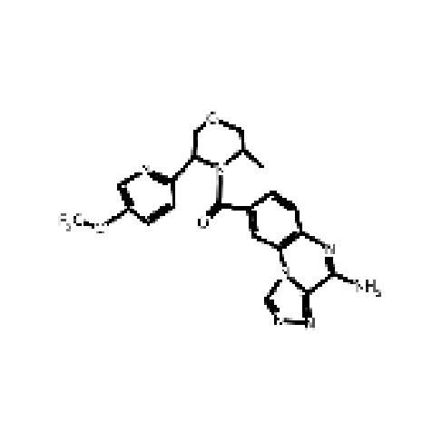 CC1COCC(c2ccc(OC(F)(F)F)cn2)N1C(=O)c1ccc2nc(N)c3nncn3c2c1